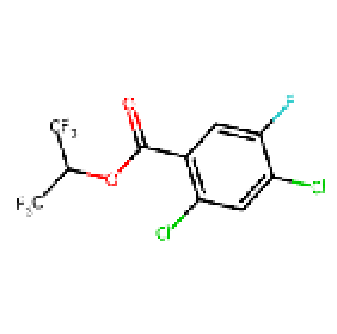 O=C(OC(C(F)(F)F)C(F)(F)F)c1cc(F)c(Cl)cc1Cl